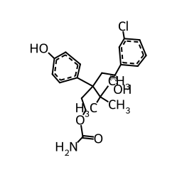 CC(C)(C)C(CCOC(N)=O)(C[C@@H](O)c1cccc(Cl)c1)c1ccc(O)cc1